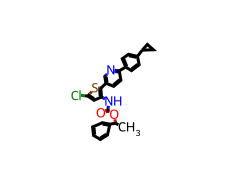 CC(OC(=O)Nc1cc(Cl)sc1-c1ccc(-c2ccc(C3CC3)cc2)nc1)c1ccccc1